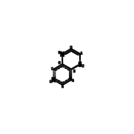 C1=CSc2ccncc2N=1